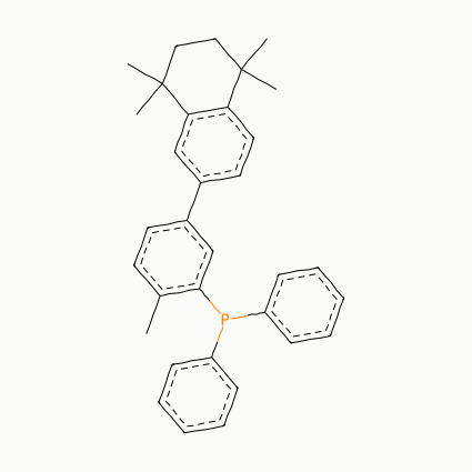 Cc1ccc(-c2ccc3c(c2)C(C)(C)CCC3(C)C)cc1P(c1ccccc1)c1ccccc1